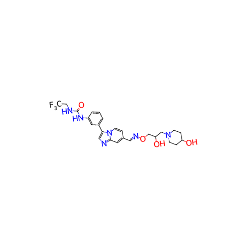 O=C(NCC(F)(F)F)Nc1cccc(-c2cnc3cc(/C=N/OCC(O)CN4CCC(O)CC4)ccn23)c1